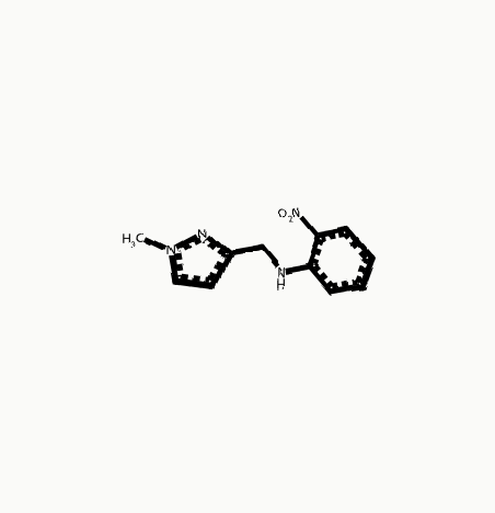 Cn1ccc(CNc2ccccc2[N+](=O)[O-])n1